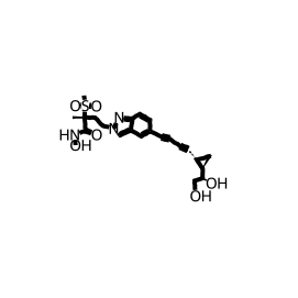 C[C@@](CCn1cc2cc(C#CC#C[C@@H]3C[C@H]3[C@H](O)CO)ccc2n1)(C(=O)NO)S(C)(=O)=O